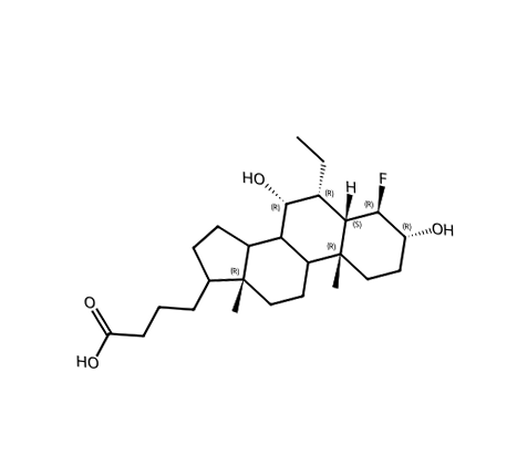 CC[C@@H]1[C@@H]2[C@@H](F)[C@H](O)CC[C@]2(C)C2CC[C@]3(C)C(CCCC(=O)O)CCC3C2[C@@H]1O